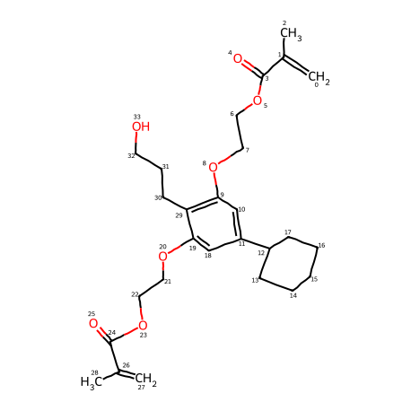 C=C(C)C(=O)OCCOc1cc(C2CCCCC2)cc(OCCOC(=O)C(=C)C)c1CCCO